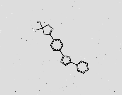 OC1(C(F)(F)F)CC(c2ccc(-c3nc(-c4ccccc4)cs3)cc2)=NO1